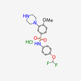 COc1ccc(S(=O)(=O)Nc2ccc(OC(F)F)cc2)cc1N1CCNCC1.Cl